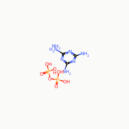 N.Nc1nc(N)nc(N)n1.O=P(O)(O)OP(=O)(O)O